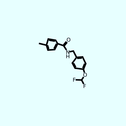 Cc1ccc(C(=O)NCc2ccc(OC(F)F)cc2)cc1